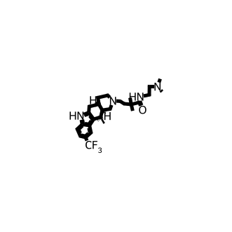 C[C@H]1c2c([nH]c3ccc(C(F)(F)F)cc23)C[C@H]2CCN(CCC(C)(C)C(=O)NCCN(C)C)C[C@@H]21